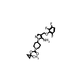 CC1(OC(=O)N2CCC(n3ncc(COc4c(F)ccc(F)c4F)c3N)CC2)CC1